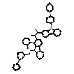 Cc1ccccc1-c1c(C(C)C(C)c2ccc3c4ccccc4n(-c4ccc(-c5ccccc5)cc4)c3c2)ccc2c1C(CCc1cccc(-c3ccccc3)c1)c1ccccc1-2